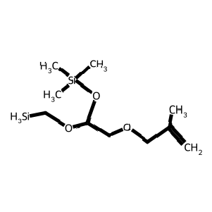 C=C(C)COCC(OC[SiH3])O[Si](C)(C)C